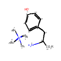 CCCC[N+](CCCC)(CCCC)CCCC.NC(Cc1ccccc1)C(=O)O.[OH-]